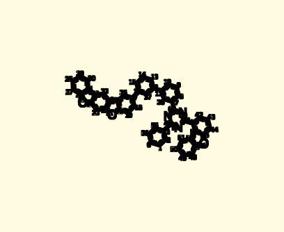 c1ccc(-c2nc(-c3cccc(-c4cccc(-c5ccc6oc7cc8oc9ccccc9c8cc7c6c5)c4)c3)nc(-c3cccc4oc5ccccc5c34)n2)cc1